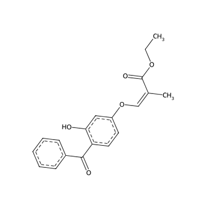 CCOC(=O)C(C)=COc1ccc(C(=O)c2ccccc2)c(O)c1